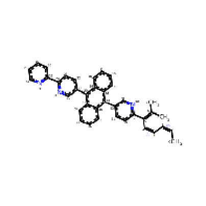 C/C=C\C=C/C(=C(C)C)c1ccc(-c2c3ccccc3c(-c3ccc(-c4ccccn4)nc3)c3ccccc23)cn1